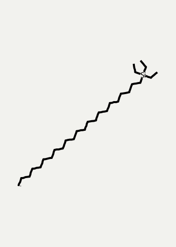 [CH2]CCCCCCCCCCCCCCCCCCCCCC[Si](CC)(CC)CC